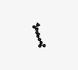 Cc1cc(C)cc(-n2c3ccccc3c3cc(-c4ccc5c(c4)C(C)(C)c4cc(-c6ccc(-c7ccc8c(c7)c7ccccc7n8-c7ccccc7)cc6)ccc4-5)ccc32)c1